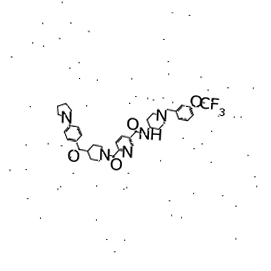 O=C(NC1CCN(Cc2cccc(OC(F)(F)F)c2)CC1)c1ccc(C(=O)N2CCC(C(=O)c3ccc(N4CCCC4)cc3)CC2)nc1